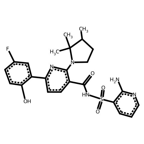 CC1CCN(c2nc(-c3cc(F)ccc3O)ccc2C(=O)NS(=O)(=O)c2cccnc2N)C1(C)C